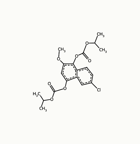 COc1cc(OC(=O)OC(C)C)c2cc(Cl)ccc2c1OC(=O)OC(C)C